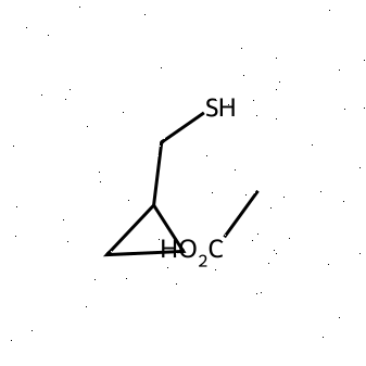 CC(=O)O.SCC1CC1